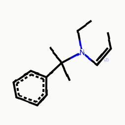 C/C=C\N(CC)C(C)(C)c1ccccc1